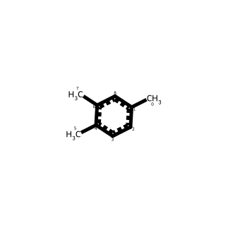 Cc1c[c]c(C)c(C)c1